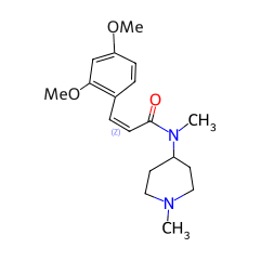 COc1ccc(/C=C\C(=O)N(C)C2CCN(C)CC2)c(OC)c1